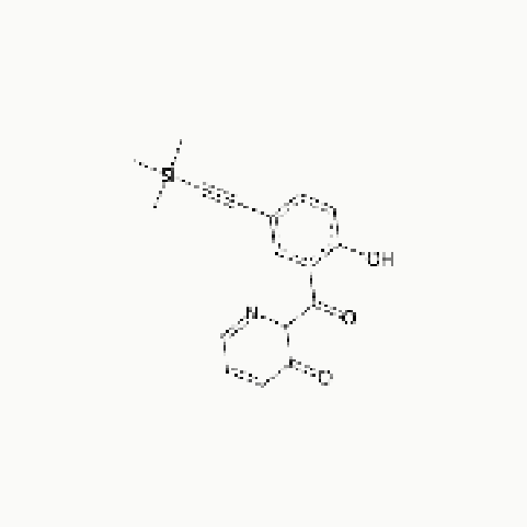 C[Si](C)(C)C#Cc1ccc(O)c(C(=O)C2N=CC=CC2=O)c1